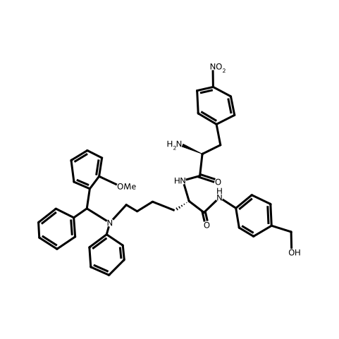 COc1ccccc1C(c1ccccc1)N(CCCC[C@H](NC(=O)[C@@H](N)Cc1ccc([N+](=O)[O-])cc1)C(=O)Nc1ccc(CO)cc1)c1ccccc1